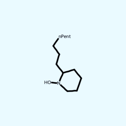 CCCCCCCCC1CCCCN1O